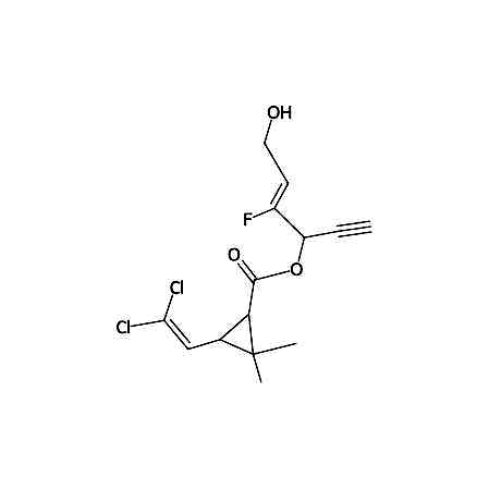 C#CC(OC(=O)C1C(C=C(Cl)Cl)C1(C)C)/C(F)=C/CO